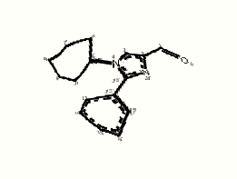 O=Cc1cn(C2CCCCC2)c(-c2ccccc2)n1